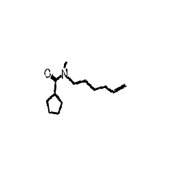 C=CCCCCN(C)C(=O)C1CCCC1